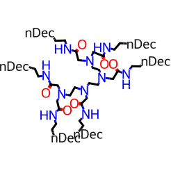 CCCCCCCCCCCCNC(=O)CN(CCN(CCN(CC(=O)NCCCCCCCCCCCC)CC(=O)NCCCCCCCCCCCC)CC(=O)NCCCCCCCCCCCC)CCN(CC(=O)NCCCCCCCCCCCC)CC(=O)NCCCCCCCCCCCC